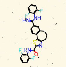 N=C(Nc1c(F)cccc1F)c1ccc2c(c1)CCCc1nc(C(=O)Nc3c(F)cccc3F)sc1-2